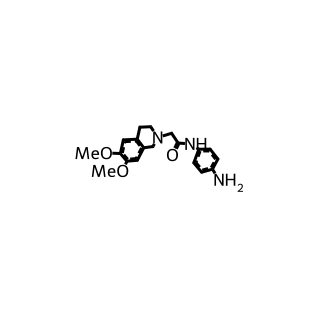 COc1cc2c(cc1OC)CN(CC(=O)Nc1ccc(N)cc1)CC2